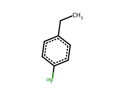 CCc1ccc([18F])cc1